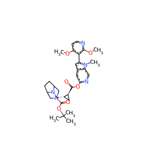 COc1ccnc(OC)c1-c1cc2cc(OC(=O)[C@H]3C[C@@H]3CN3C4CCC3CN(C(=O)OC(C)(C)C)C4)ncc2n1C